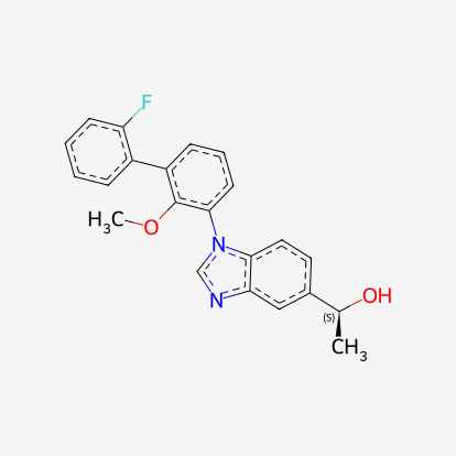 COc1c(-c2ccccc2F)cccc1-n1cnc2cc([C@H](C)O)ccc21